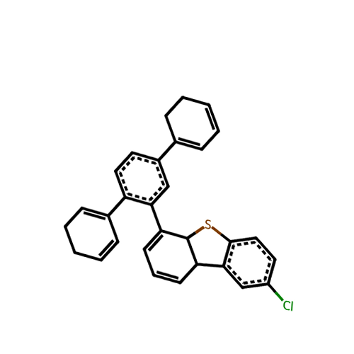 Clc1ccc2c(c1)C1C=CC=C(c3cc(C4=CC=CCC4)ccc3C3=CCCC=C3)C1S2